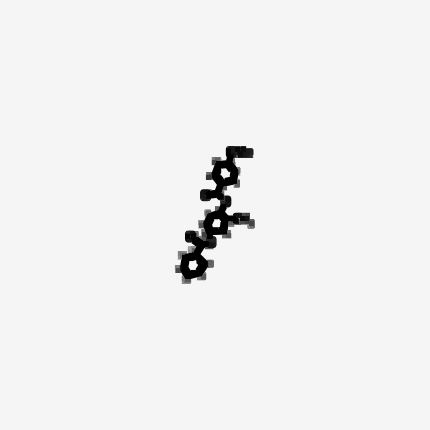 COc1ccc(C(=O)Oc2ccc(OC(=O)c3ccccc3)cc2C)cc1